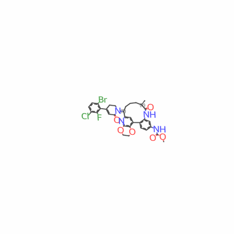 COC(=O)Nc1ccc2c(c1)NC(=O)[C@H](C)CCC[C@H](N1CCC(c3c(Br)ccc(Cl)c3F)=CC1=O)c1cc-2c2c(n1)OCCO2